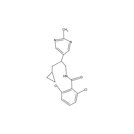 Cc1ncc(C(CNC(=O)c2c(Cl)cccc2Cl)CC2CC2)cn1